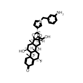 C[C@]12C=CC(=O)C=C1[C@@H](F)C[C@H]1[C@@H]3C[C@H]4O[C@@H](c5ccn(Cc6cccc(N)c6)c5)O[C@@]4(C(=O)CO)[C@@]3(C)C[C@H](O)[C@@]12F